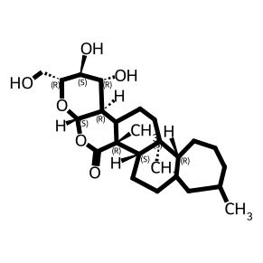 CC1CCC[C@@H]2C(CC[C@H]3[C@@]2(C)CCC2[C@H]4[C@H](OC(=O)[C@]23C)O[C@H](CO)[C@@H](O)[C@@H]4O)C1